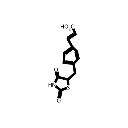 O=C(O)/C=C/c1ccc(CC2SC(=O)NC2=O)cc1